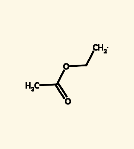 [CH2]COC(C)=O